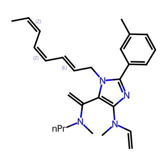 C=CN(C)c1nc(-c2cccc(C)c2)n(C/C=C/C=C\C=C/C)c1C(=C)N(C)CCC